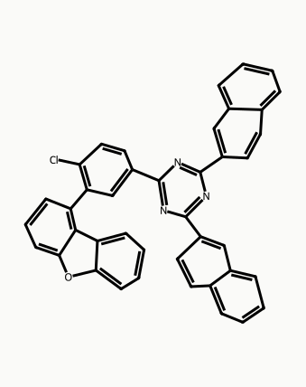 Clc1ccc(-c2nc(-c3ccc4ccccc4c3)nc(-c3ccc4ccccc4c3)n2)cc1-c1cccc2oc3ccccc3c12